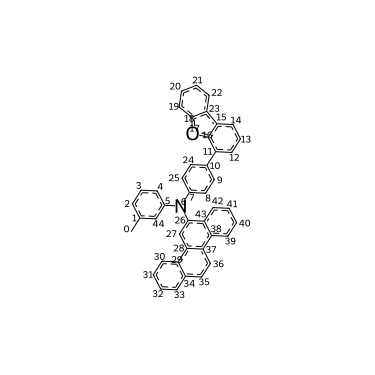 Cc1cccc(N(c2ccc(-c3cccc4c3oc3ccccc34)cc2)c2cc3c4ccccc4ccc3c3ccccc23)c1